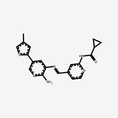 Cc1csc(-c2cnc(N)c(/N=C/c3ccnc(NC(=O)C4CC4)c3)c2)c1